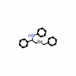 c1ccc(C[Se]CC(Nc2ccccc2)c2ccccc2)cc1